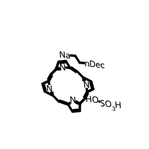 C1=CC2=NC1=CC1=NC(=CC3=NC(=CC4=NC(=C2)C=C4)C=C3)C=C1.CCCCCCCCCCC[CH2][Na].O=S(=O)(O)O